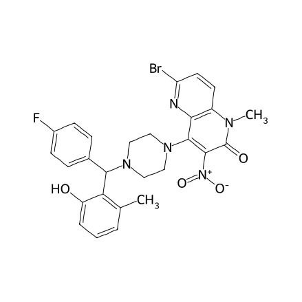 Cc1cccc(O)c1C(c1ccc(F)cc1)N1CCN(c2c([N+](=O)[O-])c(=O)n(C)c3ccc(Br)nc23)CC1